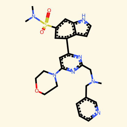 CN(Cc1cccnc1)Cc1nc(-c2cc(S(=O)(=O)N(C)C)cc3[nH]ccc23)cc(N2CCOCC2)n1